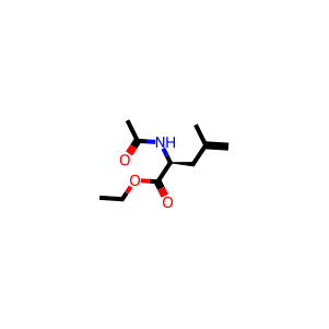 C=C(C)C[C@H](NC(C)=O)C(=O)OCC